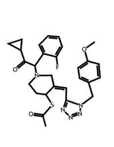 COc1ccc(Cn2nnnc2C=C2CN(C(C(=O)C3CC3)c3ccccc3F)CCC2SC(C)=O)cc1